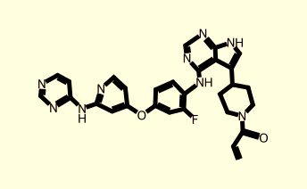 C=CC(=O)N1CCC(c2c[nH]c3ncnc(Nc4ccc(Oc5ccnc(Nc6ccncn6)c5)cc4F)c23)CC1